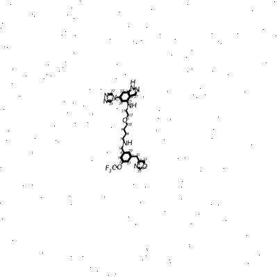 FC(F)(F)Oc1cc(CNCCCCOCCNc2cc(-n3cnnc3)cc3[nH]ncc23)cc(Cc2cocn2)c1